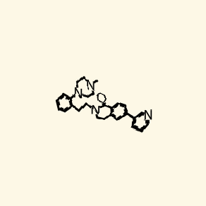 CN1CCN(c2ccccc2CCN2CCc3cc(-c4cccnc4)ccc3C2=O)CC1